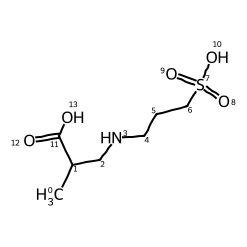 CC(CNCCCS(=O)(=O)O)C(=O)O